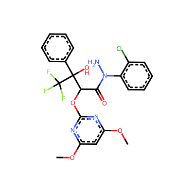 COc1cc(OC)nc(OC(C(=O)N(N)c2ccccc2Cl)C(O)(c2ccccc2)C(F)(F)F)n1